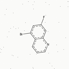 Fc1cc(Br)c2cccnc2c1